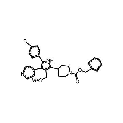 CSCc1c(C2CCN(C(=O)OCc3ccccc3)CC2)[nH]c(-c2ccc(F)cc2)c1-c1ccncc1